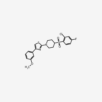 COc1cccc(-c2csc(N3CCC(S(=O)(=O)c4ccc(F)cc4Cl)CC3)n2)c1